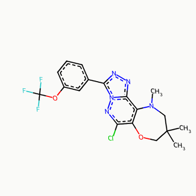 CN1CC(C)(C)COc2c(Cl)nn3c(-c4cccc(OC(F)(F)F)c4)nnc3c21